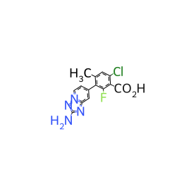 Cc1cc(Cl)c(C(=O)O)c(F)c1-c1ccn2nc(N)nc2c1